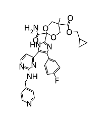 CC1(C(=O)OCC2CC2)COC(C(N)=O)(c2nc(-c3ccc(F)cc3)c(-c3ccnc(NCc4ccncc4)n3)[nH]2)OC1